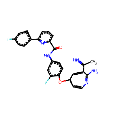 CC(=N)C1=CC(Oc2ccc(NC(=O)c3cccc(-c4ccc(F)cc4)n3)cc2F)C=CN=C1N